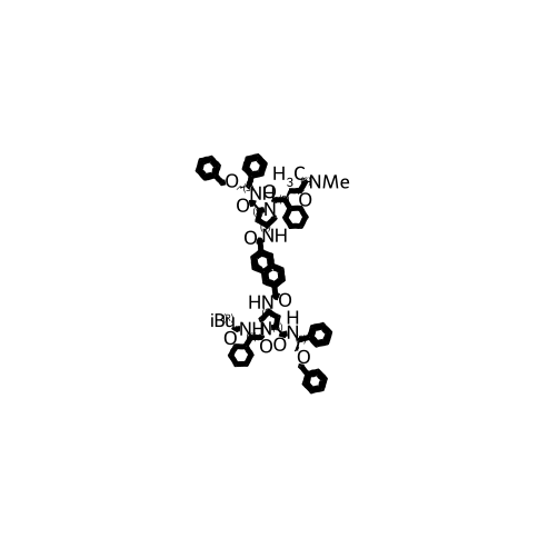 CC[C@@H](C)C(=O)N[C@H](C(=O)N1C[C@@H](NC(=O)c2ccc3cc(C(=O)N[C@H]4C[C@@H](C(=O)N[C@H](COCc5ccccc5)c5ccccc5)N(C(=O)[C@@H](CC(=O)[C@H](C)NC)C5CCCCC5)C4)ccc3c2)C[C@H]1C(=O)N[C@H](COCc1ccccc1)c1ccccc1)C1CCCCC1